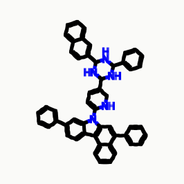 C1=C(C2NC(c3ccccc3)NC(c3ccc4ccccc4c3)N2)CNC(n2c3cc(-c4ccccc4)ccc3c3c4ccccc4c(-c4ccccc4)cc32)=C1